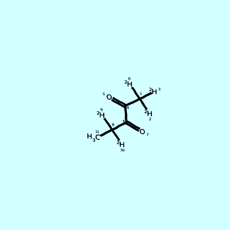 [2H]C([2H])([2H])C(=O)C(=O)C([2H])([2H])C